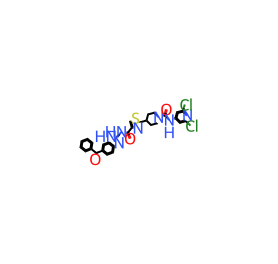 O=C(c1ccccc1)c1ccc2nc(NC(=O)c3csc(C4CCN(C(=O)Nc5cc(Cl)nc(Cl)c5)CC4)n3)[nH]c2c1